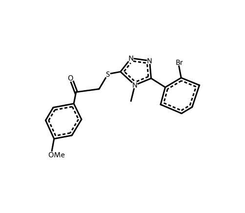 COc1ccc(C(=O)CSc2nnc(-c3ccccc3Br)n2C)cc1